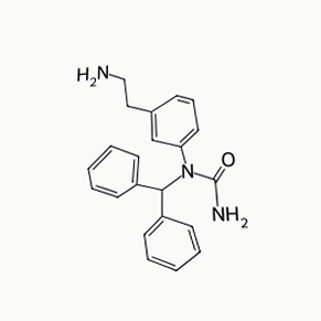 NCCc1cccc(N(C(N)=O)C(c2ccccc2)c2ccccc2)c1